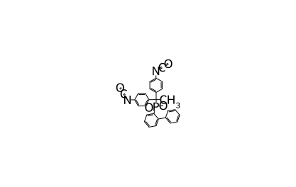 CC(c1ccc(N=C=O)cc1)(c1ccc(N=C=O)cc1)P1(=O)Oc2ccccc2-c2ccccc21